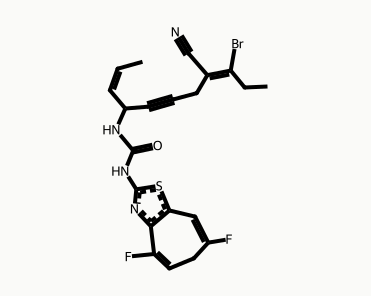 C/C=C\C(C#CC/C(C#N)=C(/Br)CC)NC(=O)Nc1nc2c(s1)C=C(F)CC=C2F